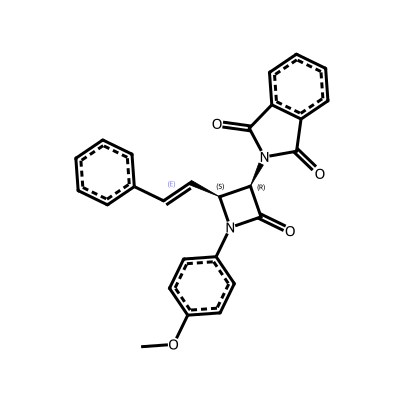 COc1ccc(N2C(=O)[C@H](N3C(=O)c4ccccc4C3=O)[C@@H]2/C=C/c2ccccc2)cc1